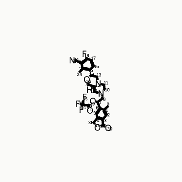 Cc1cc2c(cc1C(CN1CCN3C[C@@H](c4ccc(F)c(C#N)c4C)OC[C@@H]3C1)OC(=O)C(F)(F)F)COC2=O